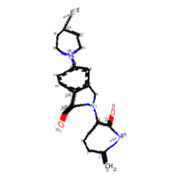 C=C1CCC(N2Cc3cc(N4CCC(CC)CC4)ccc3C2=O)C(=O)N1